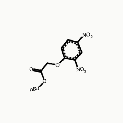 CCCCOC(=O)COc1ccc([N+](=O)[O-])cc1[N+](=O)[O-]